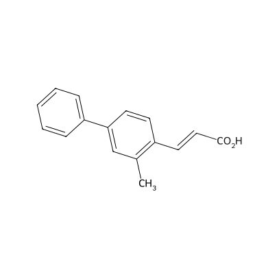 Cc1cc(-c2ccccc2)ccc1C=CC(=O)O